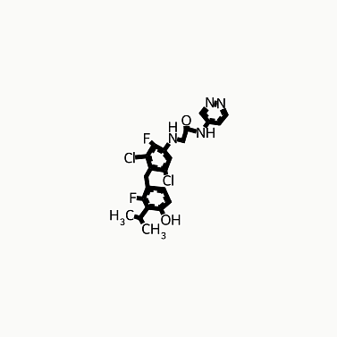 CC(C)c1c(O)ccc(Cc2c(Cl)cc(NCC(=O)Nc3ccnnc3)c(F)c2Cl)c1F